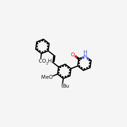 COc1c(C=Cc2ccccc2C(=O)O)cc(-c2ccc[nH]c2=O)cc1C(C)(C)C